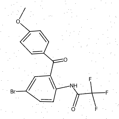 COc1ccc(C(=O)c2cc(Br)ccc2NC(=O)C(F)(F)F)cc1